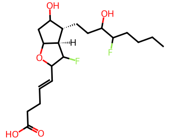 CCCCC(F)C(O)CC[C@H]1C(O)CC2OC(/C=C/CCC(=O)O)C(F)[C@@H]21